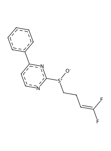 [O-][S+](CCC=C(F)F)c1nccc(-c2ccccc2)n1